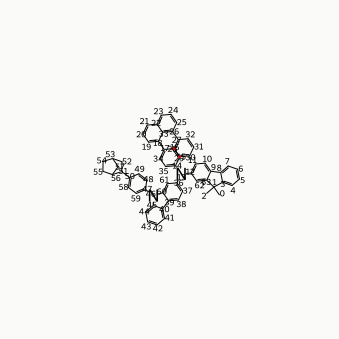 CC1(C)c2ccccc2-c2ccc(N(c3ccc(-c4cccc5cccc(-c6ccccc6)c45)cc3)c3ccc4c5ccccc5n(-c5ccc(C6CC7CCC6C7)cc5)c4c3)cc21